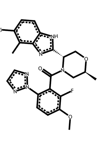 COc1ccc(-n2nccn2)c(C(=O)N2C[C@H](C)OC[C@H]2c2nc3c(C)c(Cl)ccc3[nH]2)c1F